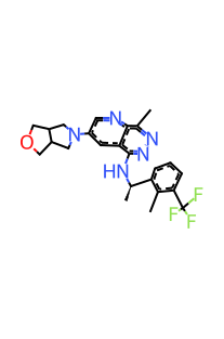 Cc1c([C@@H](C)Nc2nnc(C)c3ncc(N4CC5COCC5C4)cc23)cccc1C(F)(F)F